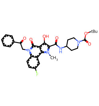 Cn1c(C(=O)NC2CCN(C(=O)OC(C)(C)C)CC2)c(O)c2c(=O)n(CC(=O)c3ccccc3)c3ccc(F)cc3c21